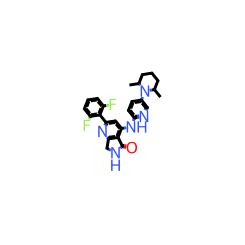 CC1CCCC(C)N1c1ccc(Nc2cc(-c3c(F)cccc3F)nc3c2C(=O)NC3)nc1